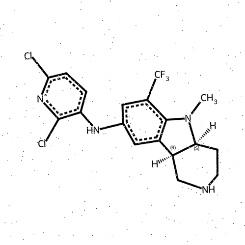 CN1c2c(cc(Nc3ccc(Cl)nc3Cl)cc2C(F)(F)F)[C@@H]2CNCC[C@@H]21